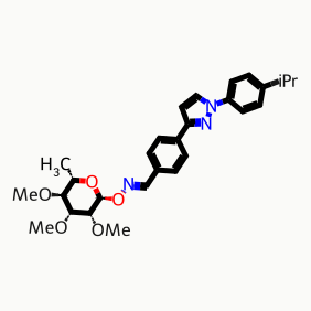 CO[C@@H]1[C@@H](OC)[C@H](C)O[C@@H](O/N=C/c2ccc(-c3ccn(-c4ccc(C(C)C)cc4)n3)cc2)[C@@H]1OC